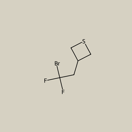 FC(F)(Br)CC1CSC1